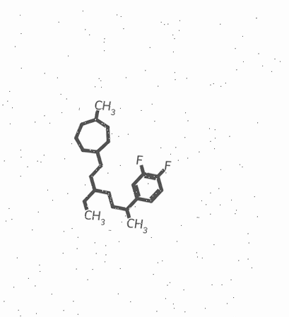 CCC(CCC1CCCC(C)CC1)CCC(C)c1ccc(F)c(F)c1